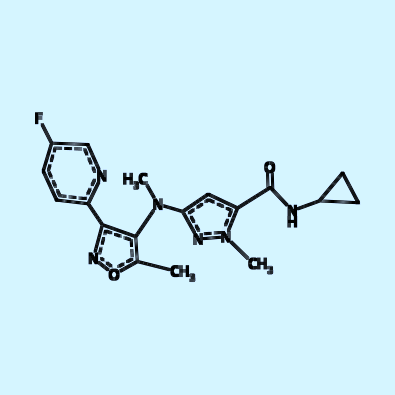 Cc1onc(-c2ccc(F)cn2)c1N(C)c1cc(C(=O)NC2CC2)n(C)n1